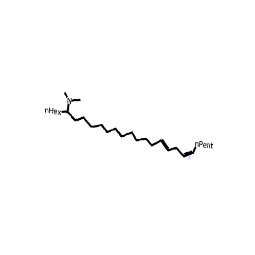 CCCCC/C=C\CC=CCCCCCCCCCCCC(CCCCCC)N(C)C